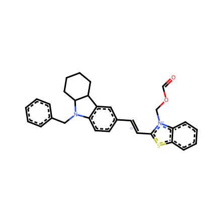 O=COC[n+]1c(/C=C/c2ccc3c(c2)C2CCCCC2N3Cc2ccccc2)sc2ccccc21